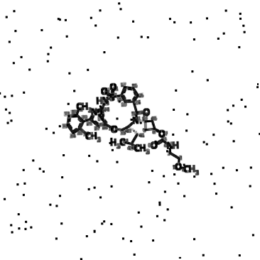 COCCNC(=O)O[C@H]1C[C@H](N2C(=O)c3cccc(c3)S(=O)(=O)Nc3nc(cc(-c4c(C)cccc4C)n3)OC[C@H]2CC(C)C)C1